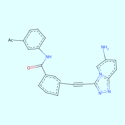 CC(=O)c1cccc(NC(=O)c2cccc(C#Cc3nnc4ccc(N)cn34)c2)c1